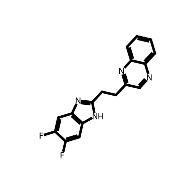 Fc1cc2nc(CCc3cnc4ccccc4n3)[nH]c2cc1F